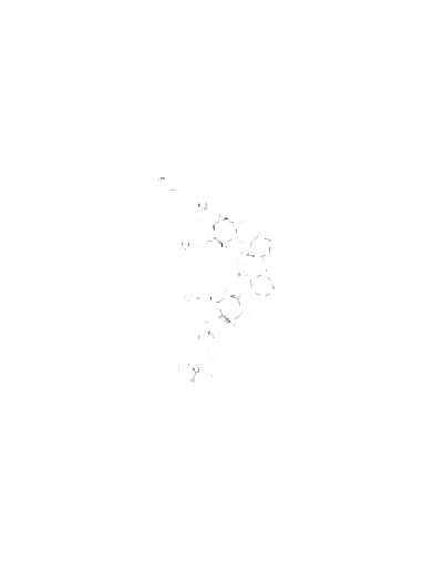 COc1nc(-c2cccc(-c3cccc(-c4cnc(CNC5CC(CO)C5)c(OC)n4)c3Cl)c2Cl)cnc1CNCC1CCC(=O)N1